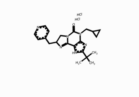 CC(C)(C)c1nc2c([nH]1)C1=NC(Cc3ccncc3)CN1C(=O)N2CC1CC1.Cl.Cl